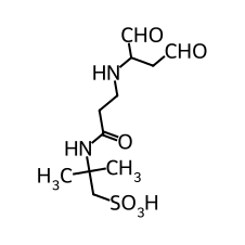 CC(C)(CS(=O)(=O)O)NC(=O)CCNC(C=O)CC=O